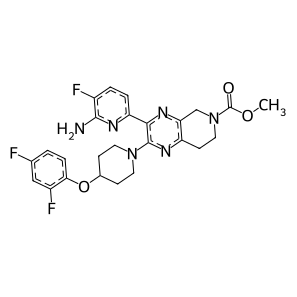 COC(=O)N1CCc2nc(N3CCC(Oc4ccc(F)cc4F)CC3)c(-c3ccc(F)c(N)n3)nc2C1